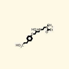 CCC(=O)N(C)CCNCC(O)COc1ccc(CCC(=O)O)cc1